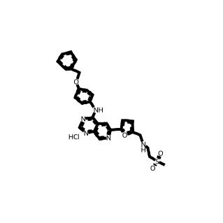 CS(=O)(=O)CCNCc1ccc(-c2cc3c(Nc4ccc(OCc5ccccc5)cc4)ncnc3cn2)o1.Cl